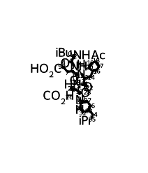 CCC(C)C(NC(C)=O)C(=O)NC(CCC(=O)O)C(=O)NC(Cc1ccccc1)C(=O)NC(CC(=O)O)C(=O)Nc1ccc(CC(C)C)cc1